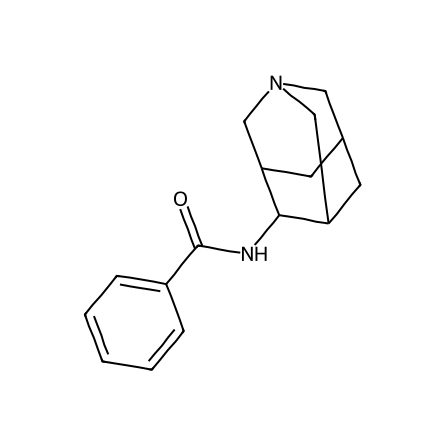 O=C(NC1C2CC3CC1CN(C3)C2)c1ccccc1